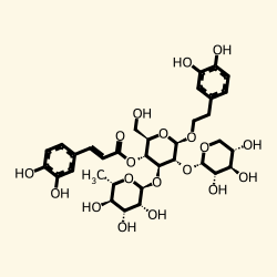 C[C@@H]1O[C@@H](O[C@@H]2[C@@H](O[C@@H]3OC[C@H](O)[C@@H](O)[C@@H]3O)[C@H](OCCc3ccc(O)c(O)c3)O[C@H](CO)[C@H]2OC(=O)/C=C/c2ccc(O)c(O)c2)[C@H](O)[C@H](O)[C@H]1O